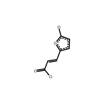 O=C(Cl)/C=C/c1ccc(Cl)o1